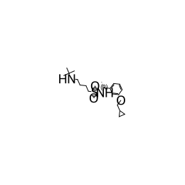 C[C@@H](NS(=O)(=O)CCCCNC(C)(C)C)c1cccc(OCC2CC2)c1